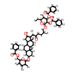 CCC1O[C@@H](OC[C@@H](C)CCC(=O)[C@@H](C)C2C(=O)CC3C4CCC5CC(O[C@@H]6OC(COC(=O)c7ccccc7)[C@H](C)[C@H](C)C6C)CCC5(C)C4CCC32C)C(OC(=O)c2ccccc2)[C@@H](OC(=O)c2ccccc2)[C@@H]1C